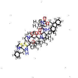 CO[C@H]([C@@H](C)C(=S)N[C@@H](Cc1ccccc1)c1nccs1)[C@@H]1CCCN1C(=O)C[C@@H](OC)[C@H](C(C)C)N(C)C(=O)[C@@H](NC(=O)C(C)(C)N(C)C(=O)OCC1c2ccccc2-c2ccccc21)C(C)C